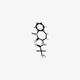 [CH2]N1C(=O)C(NC(=O)C(C)(C)N)CCc2ccccc21